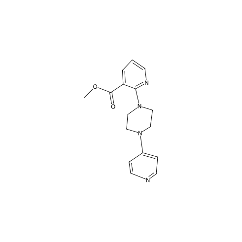 COC(=O)c1cccnc1N1CCN(c2ccncc2)CC1